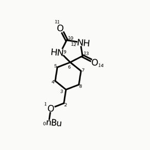 CCCCOCC1CCC2(CC1)NC(=O)NC2=O